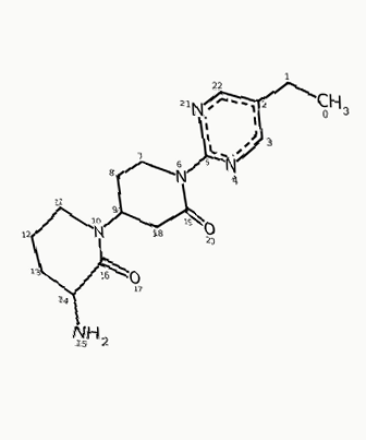 CCc1cnc(N2CCC(N3CCCC(N)C3=O)CC2=O)nc1